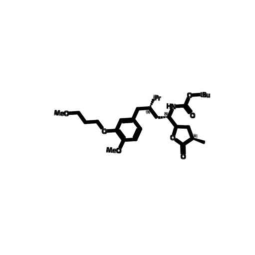 COCCCOc1cc(C[C@@H](C[C@H](NC(=O)OC(C)(C)C)C2C[C@@H](C)C(=O)O2)C(C)C)ccc1OC